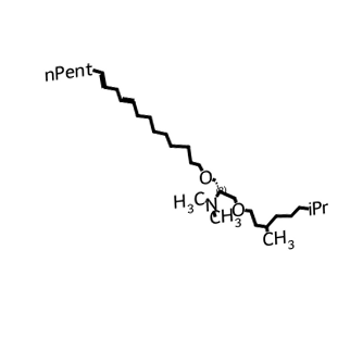 CCCCCC=CCC=CCCCCCCCCOC[C@H](COCCC(C)CCCC(C)C)N(C)C